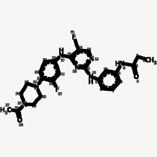 CCC(=O)Nc1cccc(Nc2ncc(F)c(Nc3ccc(N4CCN(C(C)=O)CC4)c(F)c3)n2)c1